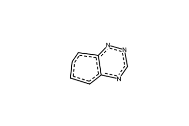 c1ccc2nncnc2c1